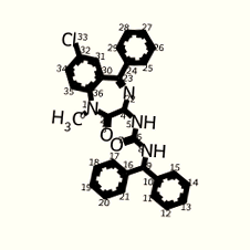 CN1C(=O)C(NC(=O)NC(c2ccccc2)c2ccccc2)N=C(c2ccccc2)c2cc(Cl)ccc21